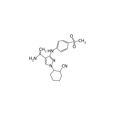 C=C(N)c1cn(C2CCCCC2C#N)nc1Nc1ccc(S(C)(=O)=O)cc1